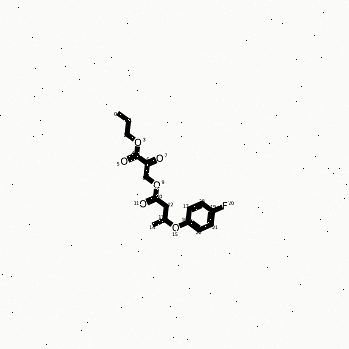 CCCOC(=O)C(=O)COC(=O)CC(C)Oc1ccc(F)cc1